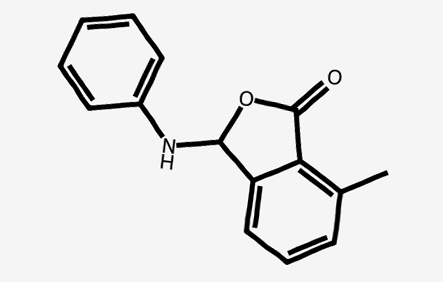 Cc1cccc2c1C(=O)OC2Nc1ccccc1